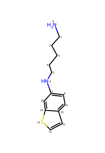 NCCCCCNc1ccc2ccsc2c1